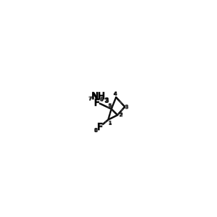 FC1C2CCC12F.N